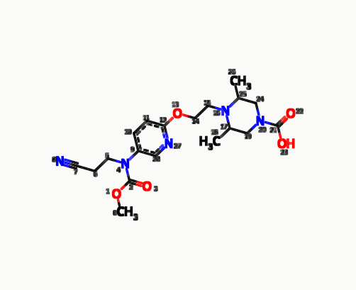 COC(=O)N(CCC#N)c1ccc(OCCN2C(C)CN(C(=O)O)CC2C)nc1